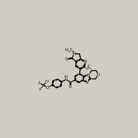 C[C@@H]1COCc2nc3cc(C(=O)Nc4ccc(OC(F)(F)Cl)cc4)cc(-c4cnc5c(c4)C(=O)N(C)C5)c3n21